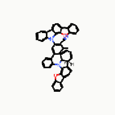 CC1CC(c2ccccc2N2c3c(ccc4c3oc3ccccc34)[C@@H]3C=CC=CC32)=CC(n2c3ccccc3c3ccc4c5ccccc5oc4c32)=C1C#N